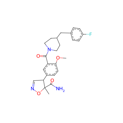 COc1ccc(C2C=NOC2(C)C(N)=O)cc1C(=O)N1CCC(Cc2ccc(F)cc2)CC1